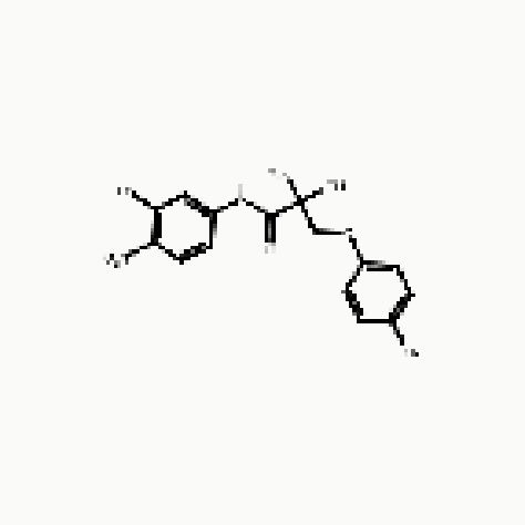 CCc1cc(NC(=O)C(C)(O)COc2ccc(C#N)cc2)ccc1[N+](=O)[O-]